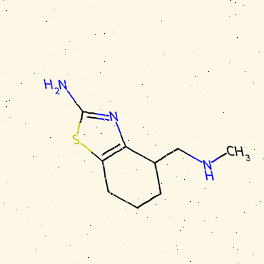 CNCC1CCCc2sc(N)nc21